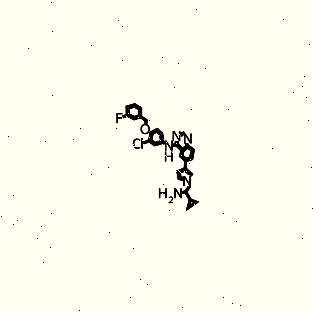 NC(Cn1ccc(-c2ccc3ncnc(Nc4ccc(OCc5cccc(F)c5)c(Cl)c4)c3c2)c1)C1CC1